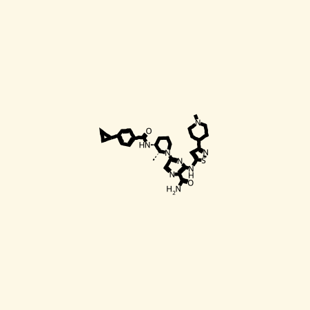 C[C@@H]1[C@H](NC(=O)c2ccc(C3CC3)cc2)CCCN1c1cnc(C(N)=O)c(Nc2cc(C3CCN(C)CC3)ns2)n1